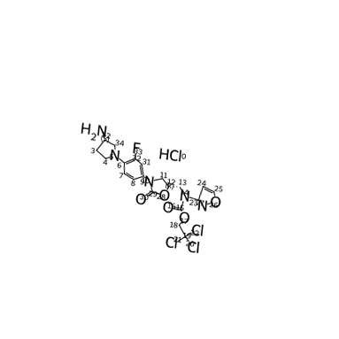 Cl.N[C@H]1CCN(c2ccc(N3C[C@H](CN(C(=O)OCC(Cl)(Cl)Cl)c4ccon4)OC3=O)cc2F)C1